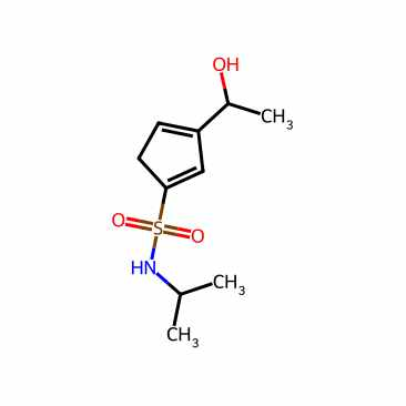 CC(C)NS(=O)(=O)C1=CC(C(C)O)=CC1